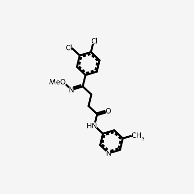 CON=C(CCC(=O)Nc1cncc(C)c1)c1ccc(Cl)c(Cl)c1